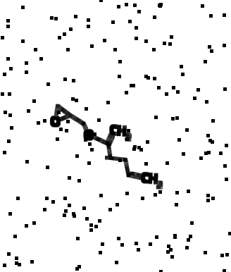 C=CC[CH]C(=C)OCC1CO1